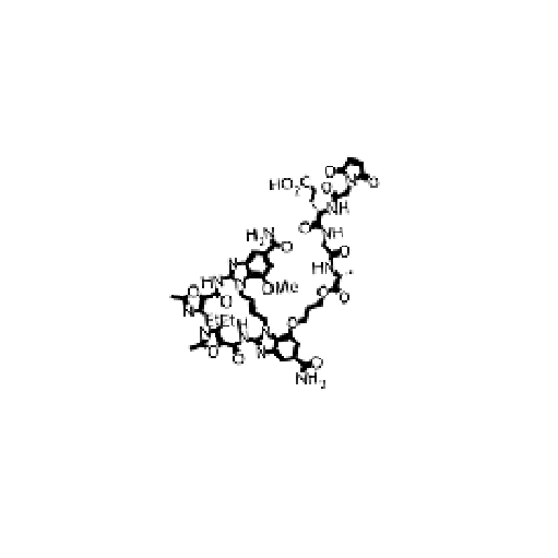 CCc1nc(C)oc1C(=O)Nc1nc2cc(C(N)=O)cc(OC)c2n1C/C=C/Cn1c(NC(=O)c2oc(C)nc2CC)nc2cc(C(N)=O)cc(OCCCOC(=O)[C@@H](C)NC(=O)CNC(=O)[C@H](CCC(=O)O)NC(=O)CN3C(=O)C=CC3=O)c21